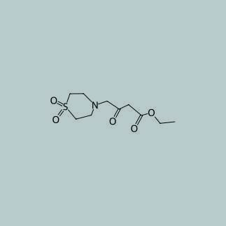 CCOC(=O)CC(=O)CN1CCS(=O)(=O)CC1